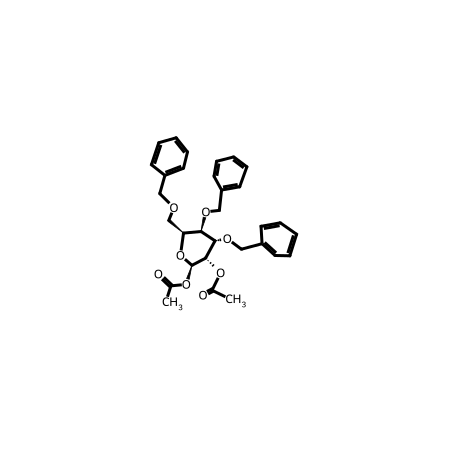 CC(=O)O[C@H]1O[C@@H](COCc2ccccc2)[C@@H](OCc2ccccc2)[C@H](OCc2ccccc2)[C@@H]1OC(C)=O